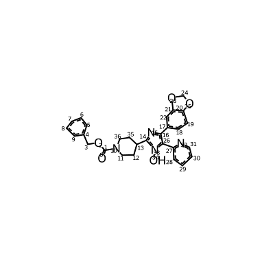 O=C(OCc1ccccc1)N1CCC(c2nc(-c3ccc4c(c3)OCO4)c(-c3ccccn3)n2O)CC1